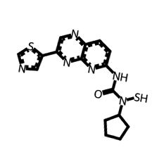 O=C(Nc1ccc2ncc(-c3cncs3)nc2n1)N(S)C1CCCC1